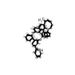 C=C1/C=C\C=C/N(c2ccccc2)c2c1cccc2-c1cccc2c1-c1ccccc1Sc1ccccc1-c1ccc(C3=CC=CCN3)cc1S2